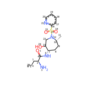 CC(C)C[C@H](N)C(=O)N[C@H]1CC[C@@H](C)N(S(=O)(=O)c2ccccn2)CC1O